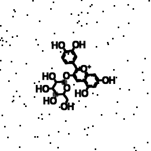 OCC1O[C@@H](Oc2cc3c(O)cc(O)cc3[o+]c2-c2ccc(O)c(O)c2)C(O)C(O)[C@H]1O